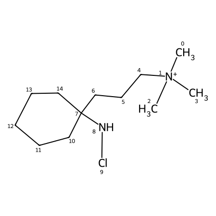 C[N+](C)(C)CCCC1(NCl)CCCCC1